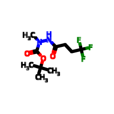 CN(NC(=O)CCC(F)(F)F)C(=O)OC(C)(C)C